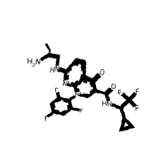 C[C@H](N)CNc1ccc2c(=O)c(C(=O)NC(C3CC3)C(F)(F)F)cn(-c3c(F)cc(F)cc3F)c2n1